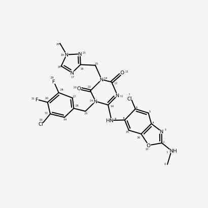 CNc1nc2cc(Cl)c(Nc3nc(=O)n(Cc4ncn(C)n4)c(=O)n3Cc3cc(F)c(F)c(Cl)c3)cc2o1